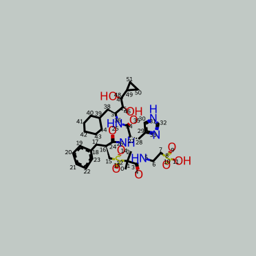 CC(C)(C(=O)NCCS(=O)(=O)O)S(=O)(=O)C[C@@H](Cc1ccccc1)C(=O)N[C@@H](Cc1c[nH]cn1)C(=O)N[C@@H](CC1CCCCC1)[C@@H](O)[C@@H](O)C1CC1